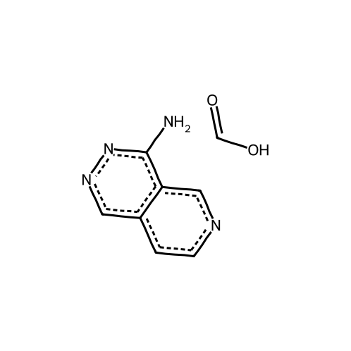 Nc1nncc2ccncc12.O=CO